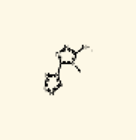 Cn1c(N)nnc1-n1cnnn1